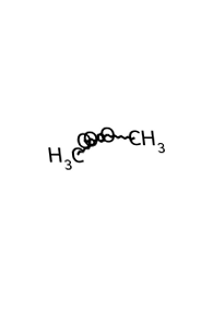 CCCCCCCCOc1ccc(C2CC(CCCCC)C(=O)O2)cc1